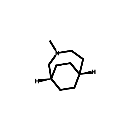 CN1CC[C@H]2CC[C@H](CC2)C1